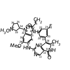 C=CC(=O)Nc1cc(Nc2ncc3c(=O)[nH]c(C)c(-c4cccc(F)c4)c3n2)c(OC)cc1N(C)C1CCN(C)C1